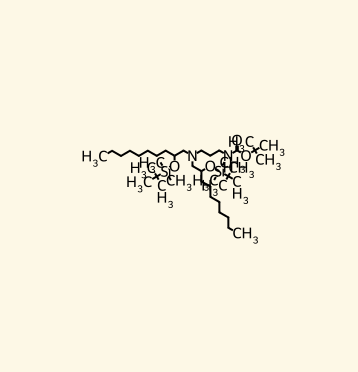 CCCCCCCCC(CN(CCCNC(=O)OC(C)(C)C)CC(CCCCCCCC)O[Si](C)(C)C(C)(C)C)O[Si](C)(C)C(C)(C)C